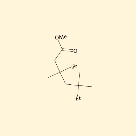 CCC(C)(C)CC(C)(CC(=O)OC)C(C)C